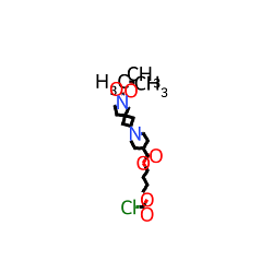 CC(C)(C)OC(=O)N1CCC2(CC(N3CCC(C(=O)OCCCCOC(=O)Cl)CC3)C2)C1